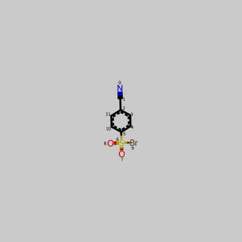 N#Cc1ccc(S(=O)(=O)Br)cc1